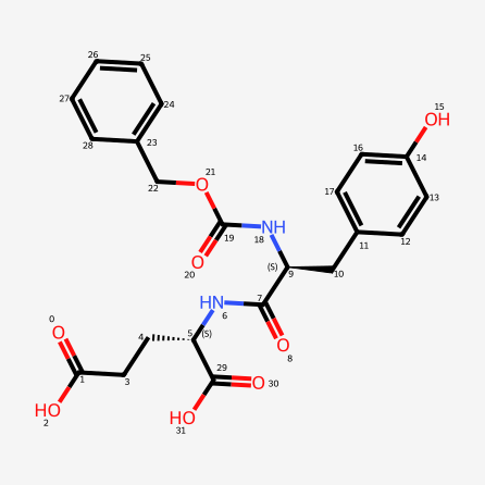 O=C(O)CC[C@H](NC(=O)[C@H](Cc1ccc(O)cc1)NC(=O)OCc1ccccc1)C(=O)O